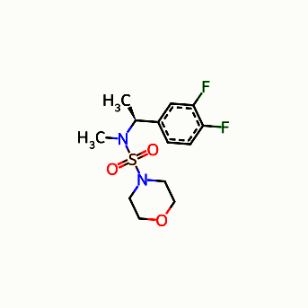 C[C@@H](c1ccc(F)c(F)c1)N(C)S(=O)(=O)N1CCOCC1